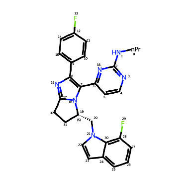 CCCNc1nccc(-c2c(-c3ccc(F)cc3)nc3n2[C@H](Cn2ccc4cccc(F)c42)CC3)n1